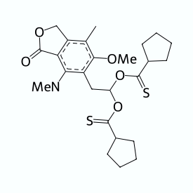 CNc1c(CC(OC(=S)C2CCCC2)OC(=S)C2CCCC2)c(OC)c(C)c2c1C(=O)OC2